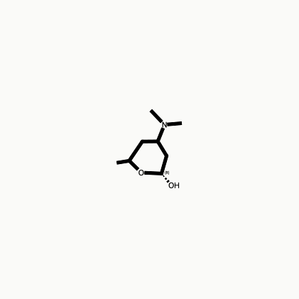 CC1CC(N(C)C)C[C@H](O)O1